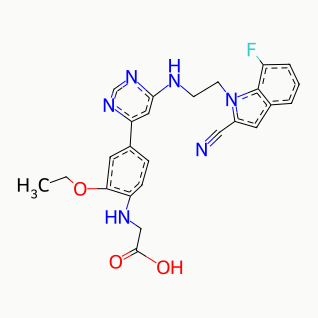 CCOc1cc(-c2cc(NCCn3c(C#N)cc4cccc(F)c43)ncn2)ccc1NCC(=O)O